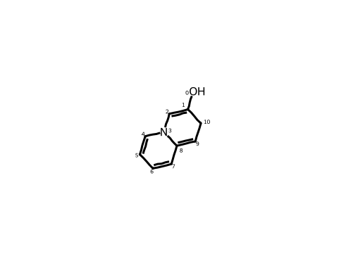 OC1=CN2C=CC=CC2=CC1